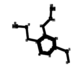 COc1ccc(CSS)c(COS)c1